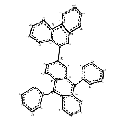 c1ccc(-c2c3ccccc3c(-c3ccccc3)c3cc(-c4cc5ccccc5c5ncccc45)ccc23)cc1